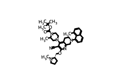 Cc1cccc2cccc(N3CCc4c(nc(OC[C@@H]5CCCN5C)c(C#N)c4N4CCN(C(=O)OC(C)(C)C)C(C)C4)C3)c12